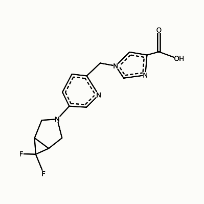 O=C(O)c1cn(Cc2ccc(N3CC4C(C3)C4(F)F)cn2)cn1